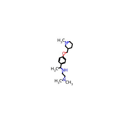 CC(NCCN(C)C)c1ccc(OCC2CCCN(C)C2)cc1